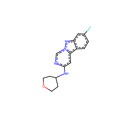 Fc1ccc2c(c1)nn1cnc(NC3CCOCC3)cc21